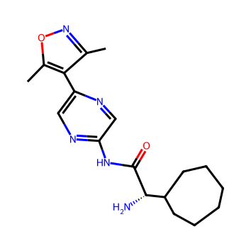 Cc1noc(C)c1-c1cnc(NC(=O)[C@@H](N)C2CCCCCC2)cn1